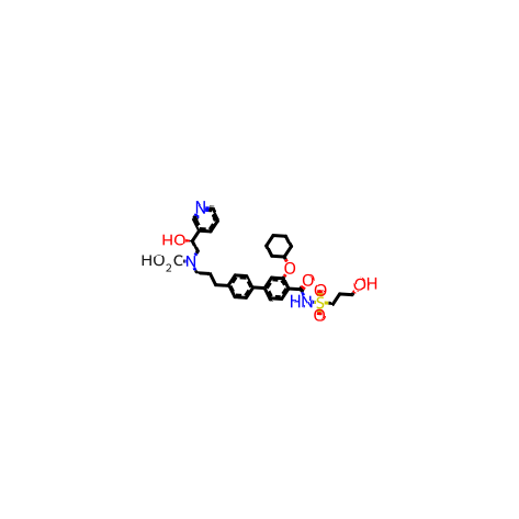 O=C(NS(=O)(=O)CCCO)c1ccc(-c2ccc(CCCN(C[C@@H](O)c3cccnc3)C(=O)O)cc2)cc1OC1CCCCC1